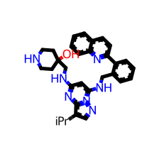 CC(C)c1cnn2c(NCc3ccccc3-c3ccc4ccccc4n3)cc(NCC3(O)CCNCC3)nc12